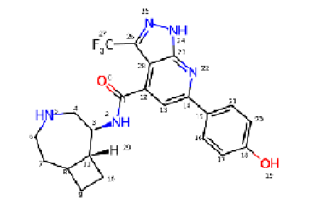 O=C(N[C@@H]1CNCCC2CC[C@H]21)c1cc(-c2ccc(O)cc2)nc2[nH]nc(C(F)(F)F)c12